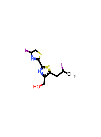 CC(I)Cc1sc(C2=NC(I)CS2)nc1CO